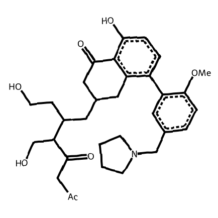 COc1ccc(CN2CCCC2)cc1-c1ccc(O)c2c1CC(CC(CCO)C(CO)C(=O)CC(C)=O)CC2=O